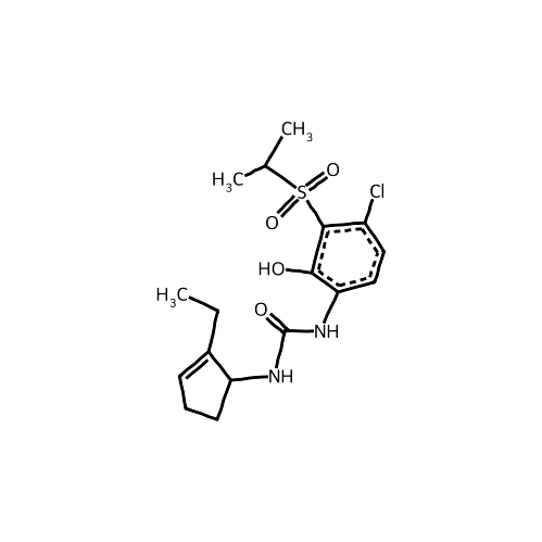 CCC1=CCCC1NC(=O)Nc1ccc(Cl)c(S(=O)(=O)C(C)C)c1O